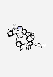 Cc1[nH]c(C=C2C(=O)Nc3cc(/C=C\CNc4ncccc4C(=O)NCc4ccc(F)c(F)c4)ccc32)c(C)c1C(=O)O